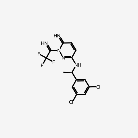 C[C@@H](Nc1ccc(=N)n(C(=N)C(F)(F)F)n1)c1cc(Cl)cc(Cl)c1